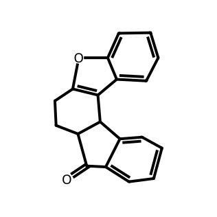 O=C1c2ccccc2C2c3c(oc4ccccc34)CCC12